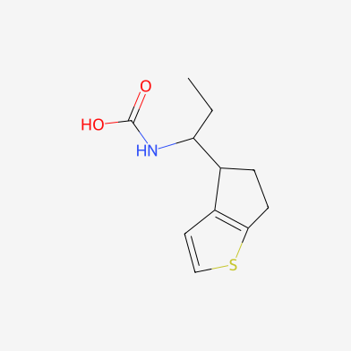 CCC(NC(=O)O)C1CCc2sccc21